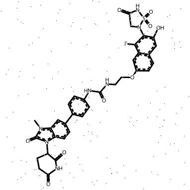 Cn1c(=O)n(C2CCC(=O)NC2=O)c2ccc(-c3ccc(NC(=O)NCCOc4ccc5cc(O)c(N6CC(=O)NS6(=O)=O)c(F)c5c4)cc3)cc21